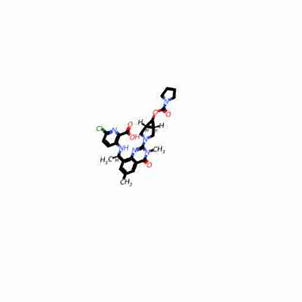 Cc1cc([C@@H](C)Nc2ccc(Cl)nc2C(=O)O)c2nc(N3C[C@@H]4C(OC(=O)N5CCCC5)[C@@H]4C3)n(C)c(=O)c2c1